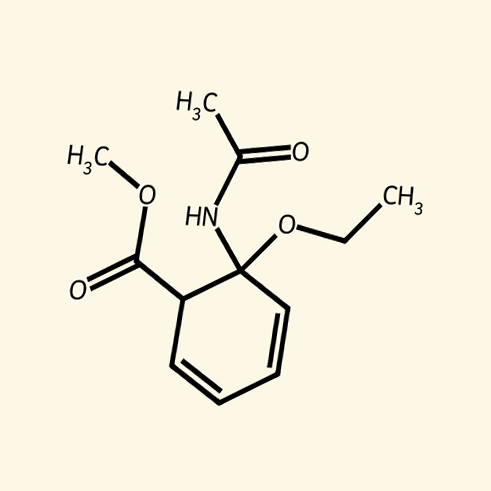 CCOC1(NC(C)=O)C=CC=CC1C(=O)OC